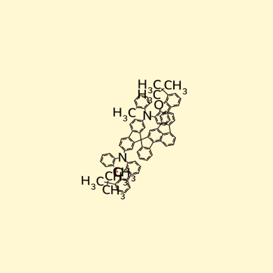 Cc1ccccc1N(c1ccc2c(c1)C1(c3cc(N(c4ccccc4C)c4cccc5c4oc4c(C(C)(C)C)cccc45)ccc3-2)c2ccccc2-c2c1cc1c3c(cccc23)-c2ccccc2-1)c1cccc2c1oc1c(C(C)(C)C)cccc12